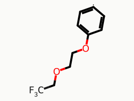 FC(F)(F)COCCOc1cc[c]cc1